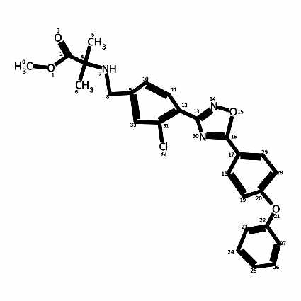 COC(=O)C(C)(C)NCc1ccc(-c2noc(-c3ccc(Oc4ccccc4)cc3)n2)c(Cl)c1